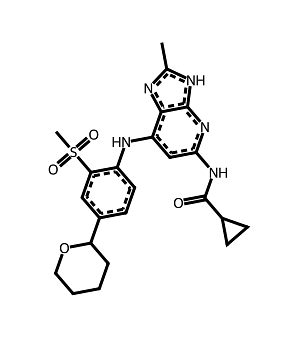 Cc1nc2c(Nc3ccc(C4CCCCO4)cc3S(C)(=O)=O)cc(NC(=O)C3CC3)nc2[nH]1